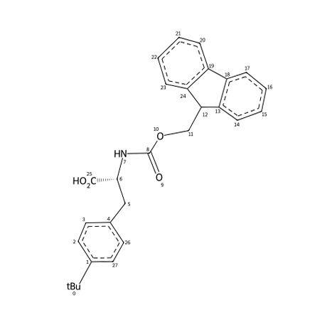 CC(C)(C)c1ccc(C[C@@H](NC(=O)OCC2c3ccccc3-c3ccccc32)C(=O)O)cc1